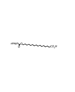 CCCCCCCC(=O)OCCCCCCCCCCCCCCCC(=O)O